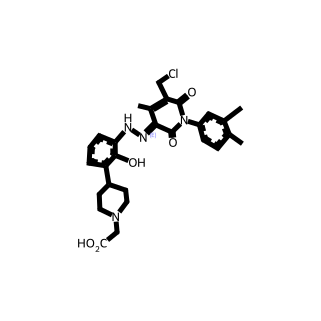 CC1=C(CCl)C(=O)N(c2ccc(C)c(C)c2)C(=O)/C1=N/Nc1cccc(C2CCN(CC(=O)O)CC2)c1O